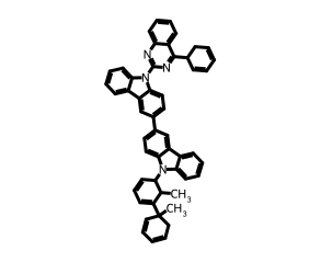 CC1C(C2(C)C=CC=CC2)=CC=CC1n1c2ccccc2c2cc(-c3ccc4c(c3)c3ccccc3n4-c3nc(C4C=CC=CC4)c4ccccc4n3)ccc21